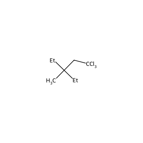 CCC(C)(CC)CC(Cl)(Cl)Cl